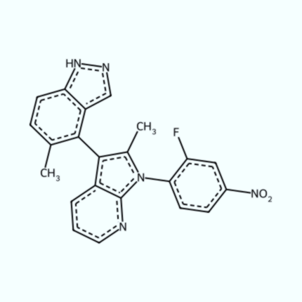 Cc1ccc2[nH]ncc2c1-c1c(C)n(-c2ccc([N+](=O)[O-])cc2F)c2ncccc12